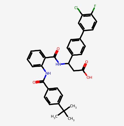 CC(C)(C)c1ccc(C(=O)Nc2ccccc2C(=O)NC(CC(=O)O)c2ccc(-c3ccc(F)c(Cl)c3)cc2)cc1